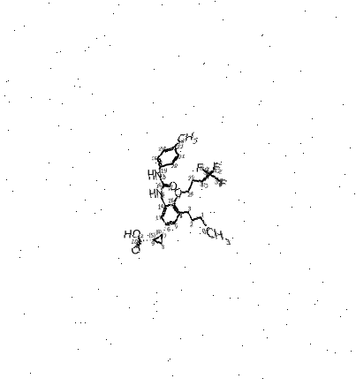 CCCCc1cc([C@@H]2C[C@@H]2C(=O)O)cc(NC(=O)Nc2ccc(C)cc2)c1OCCCC(F)(F)F